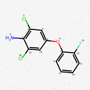 Nc1c(Cl)cc(Oc2ccccc2F)cc1Cl